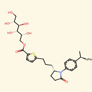 CCCCC[C@H](C)c1ccc(N2C(=O)CC[C@@H]2CCCc2ccc(C(=O)OC[C@@H](O)[C@H](O)[C@H](O)[C@H](O)CO)s2)cc1